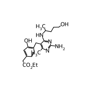 CCOC(=O)Cc1ccc(Cc2c(C)nc(N)nc2NC(C)CCCO)c(O)c1